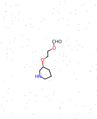 O=COCCO[C@H]1CCCNC1